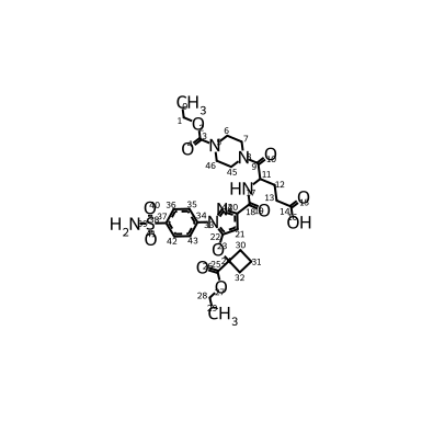 CCOC(=O)N1CCN(C(=O)C(CCC(=O)O)NC(=O)c2cc(OC3(C(=O)OCC)CCC3)n(-c3ccc(S(N)(=O)=O)cc3)n2)CC1